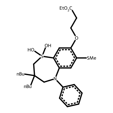 CCCCC1(CCCC)CN(c2ccccc2)c2cc(SC)c(OCCC(=O)OCC)cc2S(O)(O)C1